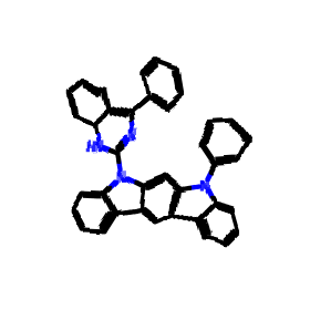 C1=CC2=C(c3ccccc3)N=C(n3c4ccccc4c4cc5c6ccccc6n(-c6ccccc6)c5cc43)NC2C=C1